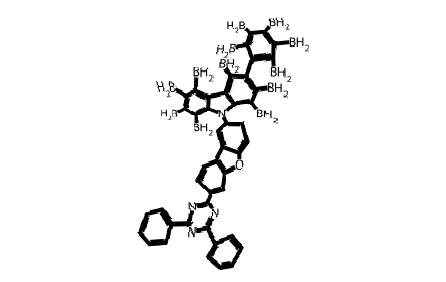 Bc1c(B)c(B)c(-c2c(B)c(B)c3c(c2B)c2c(B)c(B)c(B)c(B)c2n3-c2ccc3oc4cc(-c5nc(-c6ccccc6)nc(-c6ccccc6)n5)ccc4c3c2)c(B)c1B